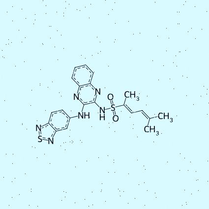 CC(C)=C/C=C(\C)S(=O)(=O)Nc1nc2ccccc2nc1Nc1ccc2nsnc2c1